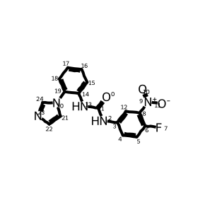 O=C(Nc1ccc(F)c([N+](=O)[O-])c1)Nc1ccccc1-n1ccnc1